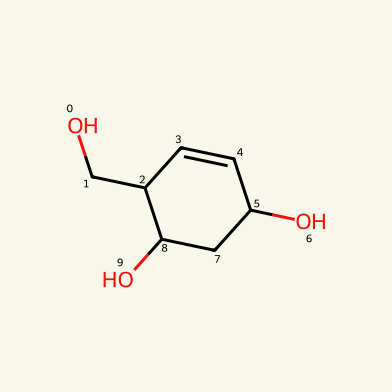 OCC1C=CC(O)CC1O